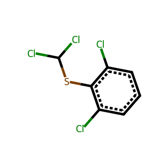 Clc1cccc(Cl)c1SC(Cl)Cl